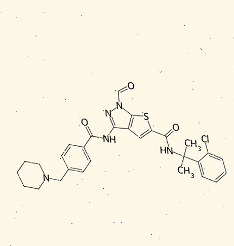 CC(C)(NC(=O)c1cc2c(NC(=O)c3ccc(CN4CCCCC4)cc3)nn([C]=O)c2s1)c1ccccc1Cl